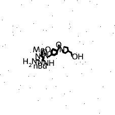 CCCCNc1nc(N)nc2cnn(Cc3ccc(C(=O)N4CCC(CCO)CC4)cc3OC)c12